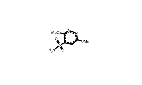 COc1cc(S(N)(=O)=O)c(OC)nn1